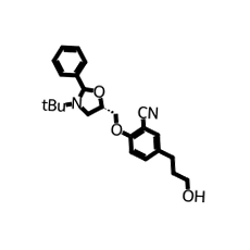 CC(C)(C)N1C[C@@H](COc2ccc(CCCO)cc2C#N)OC1c1ccccc1